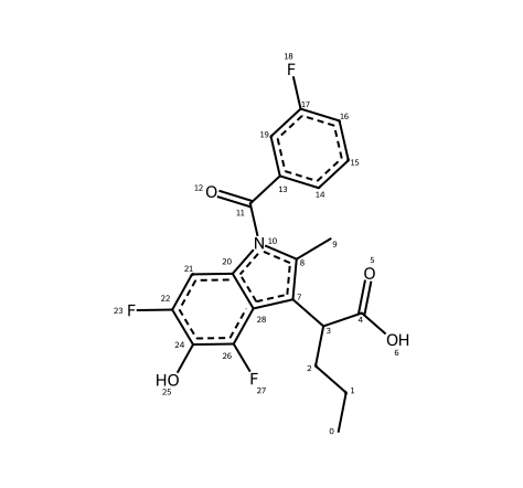 CCCC(C(=O)O)c1c(C)n(C(=O)c2cccc(F)c2)c2cc(F)c(O)c(F)c12